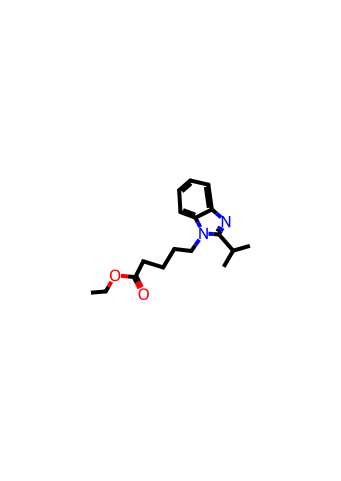 CCOC(=O)CCCCn1c(C(C)C)nc2ccccc21